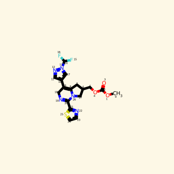 COC(=O)OCC1CC2=C(c3cnn(C(F)F)c3)CN=C(c3nccs3)N2C1